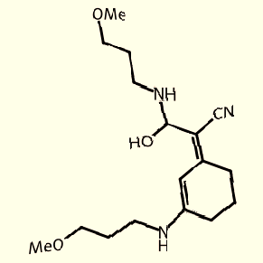 COCCCNC1=C/C(=C(/C#N)C(O)NCCCOC)CCC1